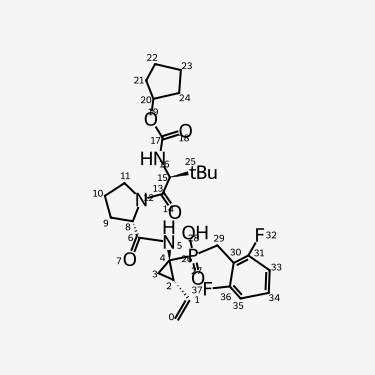 C=C[C@@H]1C[C@]1(NC(=O)[C@@H]1CCCN1C(=O)[C@@H](NC(=O)OC1CCCC1)C(C)(C)C)P(=O)(O)Cc1c(F)cccc1F